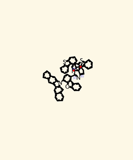 CC1C/C=C(c2cccc3sc4ccccc4c23)/N=C(c2ccc(-n3c4cc5ccccc5cc4c4cc5ccccc5cc43)c3oc4ccccc4c23)\N=C/1c1cccc2sc3ccccc3c12